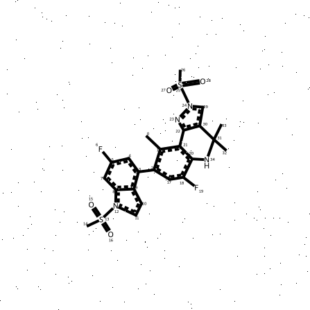 Cc1c(-c2cc(F)cc3c2ccn3S(C)(=O)=O)cc(F)c2c1-c1nn(S(C)(=O)=O)cc1C(C)(C)N2